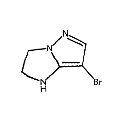 Brc1cnn2c1NCC2